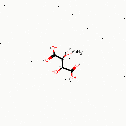 O=C(O)C(O)C(O)C(=O)O.[PbH2]